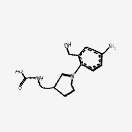 Nc1ccc(N2CCC(CNC(=O)O)C2)c(CO)c1